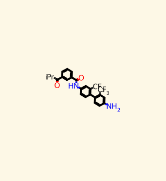 CC(C)C(=O)c1cccc(C(=O)Nc2ccc(-c3ccc(N)cc3C(F)(F)F)c(C(F)(F)F)c2)c1